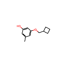 Cc1cc(O)cc(OCC2CCC2)c1